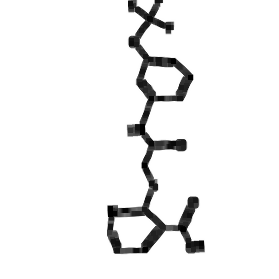 O=C(CSc1ncccc1C(=O)O)Nc1cccc(OC(F)(F)F)c1